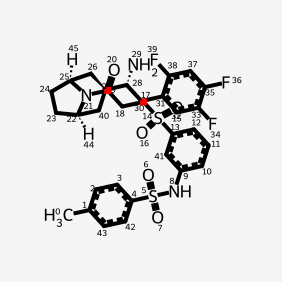 Cc1ccc(S(=O)(=O)Nc2cccc(S(=O)(=O)CCC(=O)N3[C@@H]4CC[C@H]3C[C@@H]([C@H](N)Cc3cc(F)c(F)cc3F)C4)c2)cc1